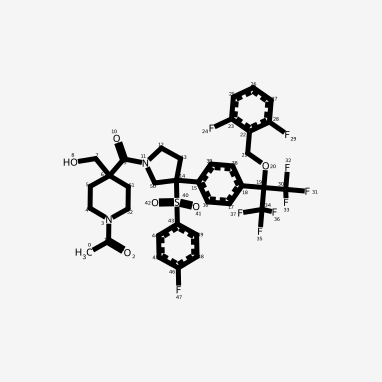 CC(=O)N1CCC(CO)(C(=O)N2CCC(c3ccc(C(OCc4c(F)cccc4F)(C(F)(F)F)C(F)(F)F)cc3)(S(=O)(=O)c3ccc(F)cc3)C2)CC1